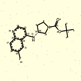 CC(C)(C)OC(=O)N1CC[C@@H](Nc2ccnc3ccc(F)cc23)C1